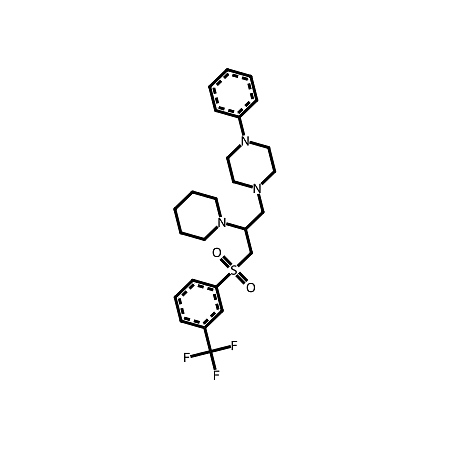 O=S(=O)(CC(CN1CCN(c2ccccc2)CC1)N1CCCCC1)c1cccc(C(F)(F)F)c1